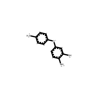 Nc1ccc(Oc2ccc(N)c(S)c2)cc1